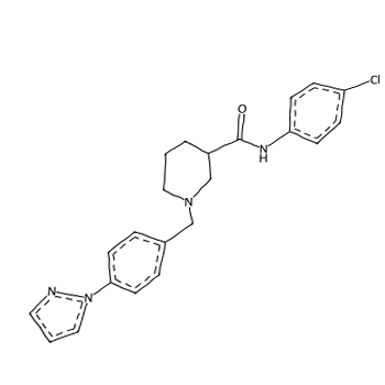 O=C(Nc1ccc(Cl)cc1)C1CCCN(Cc2ccc(-n3cccn3)cc2)C1